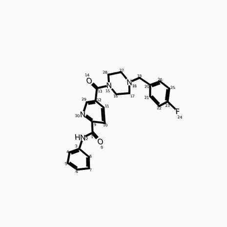 O=C(Nc1ccccc1)c1ccc(C(=O)N2CCN(Cc3ccc(F)cc3)CC2)cn1